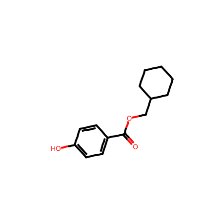 O=C(OCC1CCCCC1)c1ccc(O)cc1